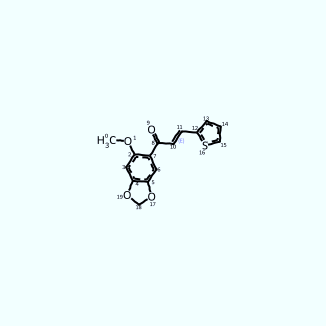 COc1cc2c(cc1C(=O)/C=C/c1cccs1)OCO2